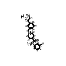 Cc1cccc2[nH]c(C3CCN(Cc4cccc(CCN)c4)CC3)nc12